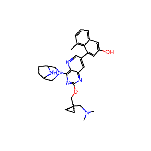 Cc1cccc2cc(O)cc(-c3cnc4c(N5CC6CCC(C5)N6)nc(OCC5(CN(C)C)CC5)nc4c3)c12